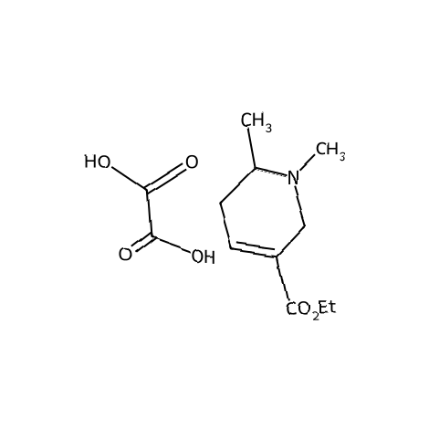 CCOC(=O)C1=CCC(C)N(C)C1.O=C(O)C(=O)O